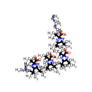 CC(C)(C)C1=NC(C(=O)[O-])(C(C)(C)C)N=C1C(C)(C)C.CC(C)(C)C1=NC(C(=O)[O-])(C(C)(C)C)N=C1C(C)(C)C.CC(C)(C)C1=NC(C(=O)[O-])(C(C)(C)C)N=C1C(C)(C)C.CC(C)(C)C1=NC(C(=O)[O-])(C(C)(C)C)N=C1C(C)(C)C.C[N-]C.C[N-]C.C[N-]C.[ZrH4]